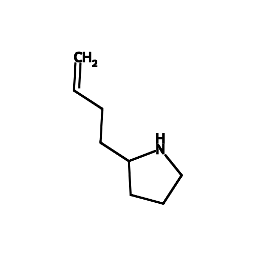 C=CCCC1CCCN1